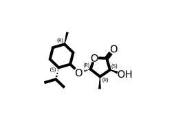 CC(C)[C@@H]1CC[C@@H](C)CC1O[C@@H]1OC(=O)[C@@H](O)[C@H]1C